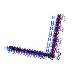 NC(N)=O.NC(N)=O.NC(N)=O.NC(N)=O.NC(N)=O.NC(N)=O.NC(N)=O.NC(N)=O.NC(N)=O.NC(N)=O.NC(N)=O.NC(N)=O.NC(N)=O.NC(N)=O.NC(N)=O.NC(N)=O.NC(N)=O.NC(N)=O.NC(N)=O.NC(N)=O.NC(N)=O.NC(N)=O.NC(N)=O.NC(N)=O.NC(N)=O.NC(N)=O.NC(N)=O.NC(N)=O.NC(N)=O.NC(N)=O.O=CN(C=O)C(=O)N(C=O)C=O